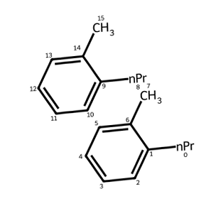 CCCc1ccccc1C.CCCc1ccccc1C